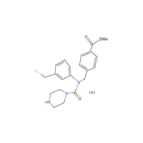 COC(=O)c1ccc(CN(C(=O)N2CCNCC2)c2cccc(CF)c2)cc1.Cl